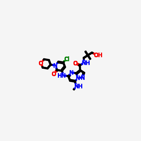 CNc1cc(Nc2cc(Cl)cn(C3CCOCC3)c2=O)nc2c(C(=O)NCC(C)(C)CO)cnn12